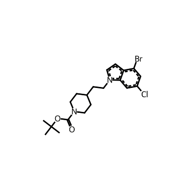 CC(C)(C)OC(=O)N1CCC(CCn2ccc3c(Br)cc(Cl)cc32)CC1